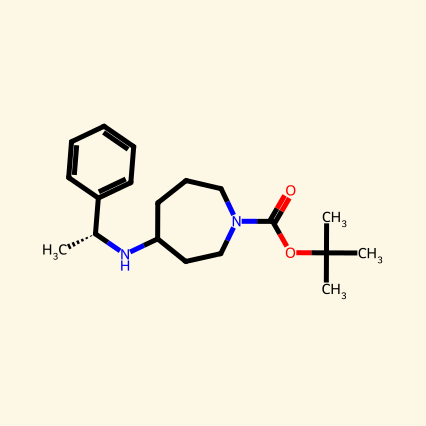 C[C@@H](NC1CCCN(C(=O)OC(C)(C)C)CC1)c1ccccc1